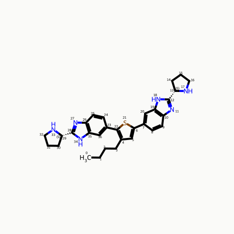 CCCCc1cc(-c2ccc3nc([C@@H]4CCCN4)[nH]c3c2)sc1-c1ccc2nc([C@@H]3CCCN3)[nH]c2c1